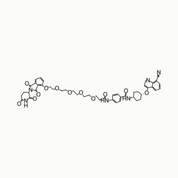 N#Cc1cccc2c(O[C@H]3CC[C@H](NC(=O)c4ccc(NC(=O)CCOCCOCCOCCOCCOc5cccc6c5C(=O)N(C5CCC(=O)NC5=O)C6=O)cc4)CC3)ccnc12